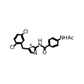 CC(=O)Nc1ccc(C(=O)Nc2ncc(Cc3cc(Cl)ccc3Cl)s2)cc1